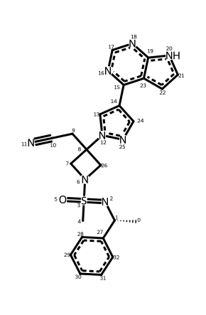 C[C@@H](N=S(C)(=O)N1CC(CC#N)(n2cc(-c3ncnc4[nH]ccc34)cn2)C1)c1ccccc1